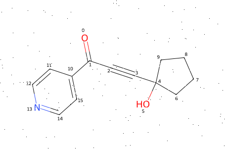 O=C(C#CC1(O)CCCC1)c1ccncc1